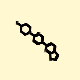 FC1CCN(c2ccc(-c3ccc4ccsc4n3)cn2)CC1